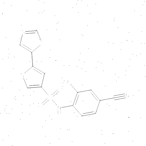 N#Cc1ccc(NS(=O)(=O)c2c[nH]c(-c3cncs3)c2)c(F)c1